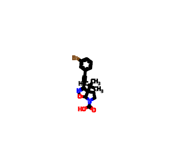 CC(C)(C)C12CCN(C(=O)O)C1ON=C2C#Cc1cccc(Br)c1